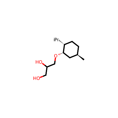 CC(C)[C@@H]1CC[C@@H](C)C[C@@H]1OCC(O)CO